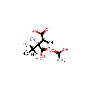 CC(=O)O.CC(C(=O)O)[C@@](N)(C(=O)O)C(C)(C)C